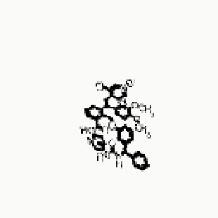 COc1ccc(C(Cc2c(Cl)c[n+]([O-])cc2Cl)c2cccc(C(=O)O)c2COc2cccc(C(NC(=O)O[C@H]3CN4CCC3CC4)c3ccccc3)c2)cc1OC